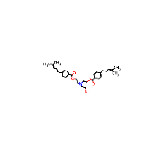 CC(C)=CCCC1=CCC(C(=O)OCCN(CCO)CCOC(=O)C2CC=C(CCC=C(C)C)CC2)CC1